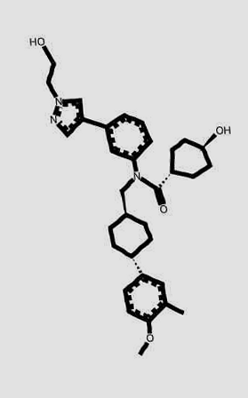 COc1ccc([C@H]2CC[C@H](CN(c3cccc(-c4cnn(CCO)c4)c3)C(=O)[C@H]3CC[C@H](O)CC3)CC2)cc1C